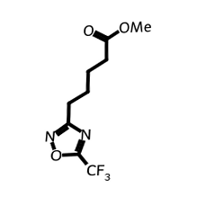 COC(=O)CCCCc1noc(C(F)(F)F)n1